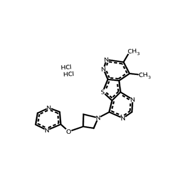 Cc1nnc2sc3c(N4CC(Oc5cnccn5)C4)ncnc3c2c1C.Cl.Cl